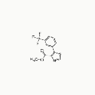 COC(=O)c1ncsc1-c1cccc(C(F)(F)F)c1